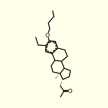 CCCCOc1cc2c(cc1CC)C1CC[C@@]3(C)C(CC[C@@H]3CC(C)=O)C1CC2